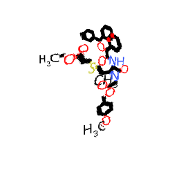 CCOC(=O)CCSC=C(C)C1C(NC(=O)C(OC(c2ccccc2)c2ccccc2)c2ccccc2)C(=O)N1CC(=O)OCc1ccc(OC)cc1